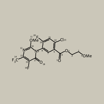 COCCOC(=O)c1cc(-n2c(OC)nc(C(F)(F)F)c(F)c2=O)c(F)cc1Cl